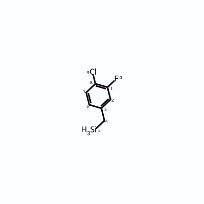 Fc1cc(C[SiH3])ccc1Cl